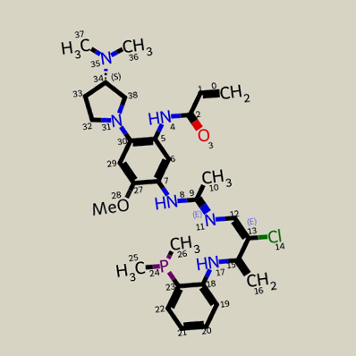 C=CC(=O)Nc1cc(N/C(C)=N/C=C(/Cl)C(=C)Nc2ccccc2P(C)C)c(OC)cc1N1CC[C@H](N(C)C)C1